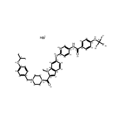 Br.CC(C)Oc1ccc(CN2CCN(C(=O)c3cc4ccc(Oc5ccc(NC(=O)c6ccc(OC(F)(F)F)cc6)cn5)cc4n3C)CC2)cc1